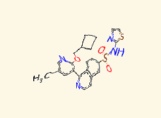 Cc1cnc(OCC2CCC2)c(-c2nccc3cc(S(=O)(=O)Nc4nccs4)ccc23)c1